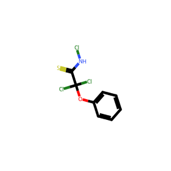 S=C(NCl)C(Cl)(Cl)Oc1ccccc1